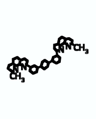 Cc1ccc2ccc3ccc(-c4cccc(-c5ccc(-c6cccc(-c7ccc8ccc9ccc(C)nc9c8n7)c6)cc5)c4)nc3c2n1